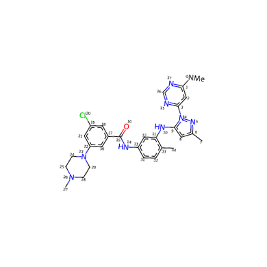 CNc1cc(-n2nc(C)cc2Nc2cc(NC(=O)c3cc(Cl)cc(N4CCN(C)CC4)c3)ccc2C)ncn1